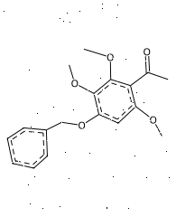 COc1cc(OCc2ccccc2)c(OC)c(OC)c1C(C)=O